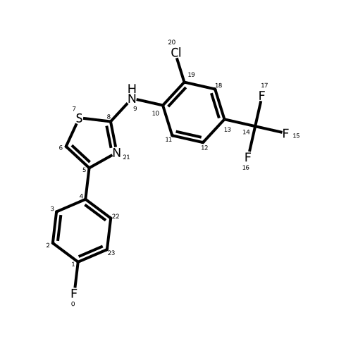 Fc1ccc(-c2csc(Nc3ccc(C(F)(F)F)cc3Cl)n2)cc1